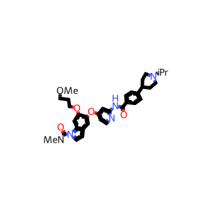 CNC(=O)n1ccc2cc(Oc3ccnc(NC(=O)c4ccc(C5CCN(C(C)C)CC5)cc4)c3)c(OCCCOC)cc21